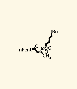 CCCCCC(=O)C[S+](C)OS(=O)(=O)CCCCC(C)(C)C